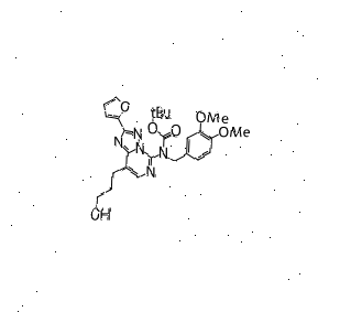 COc1ccc(CN(C(=O)OC(C)(C)C)c2ncc(CCCO)c3nc(-c4ccco4)nn23)cc1OC